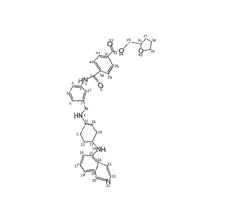 O=C(Nc1cccc(CNC2CCC(Nc3cccc4cnccc34)CC2)c1)c1ccc(C(=O)OCC2CCCO2)cc1